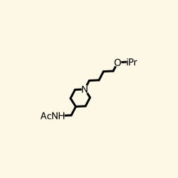 CC(=O)NCC1CCN(CCCCOC(C)C)CC1